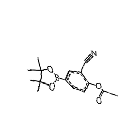 CC(=O)Oc1ccc(B2OC(C)(C)C(C)(C)O2)cc1C#N